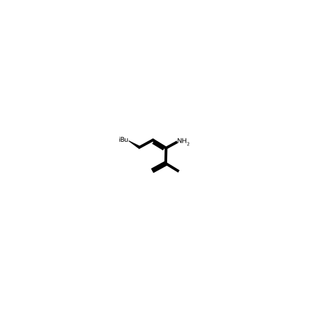 C=C(C)/C(N)=C\C[C@H](C)CC